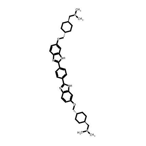 CN(C)C[C@H]1CC[C@H](COc2ccc3nc(-c4ccc(-c5nc6ccc(OC[C@H]7CC[C@H](CN(C)C)CC7)cc6[nH]5)cc4)[nH]c3c2)CC1